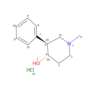 CN1CC[C@H](O)[C@@H](c2ccccc2)C1.Cl